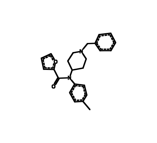 Cc1ccc(N(C(=O)c2ccco2)C2CCN(Cc3ccccc3)CC2)cc1